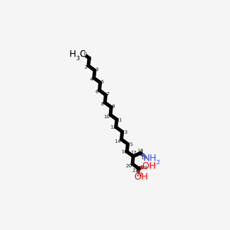 CCCCCCCCCCCCCCCCCC(CN)CC(O)O